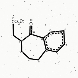 CCOC(=O)CC1CCCc2ccccc2C1=O